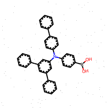 OB(O)c1ccc(N(c2ccc(-c3ccccc3)cc2)c2cc(-c3ccccc3)cc(-c3ccccc3)c2)cc1